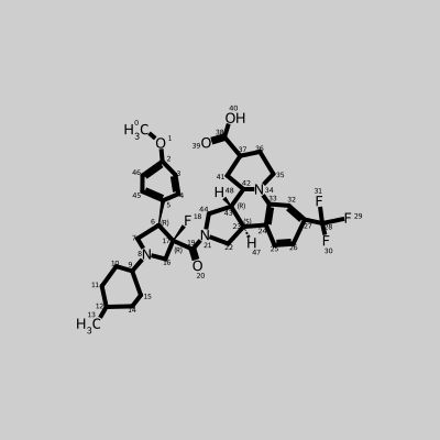 COc1ccc([C@@H]2CN(C3CCC(C)CC3)C[C@@]2(F)C(=O)N2C[C@@H]3c4ccc(C(F)(F)F)cc4N4CCC(C(=O)O)CC4[C@H]3C2)cc1